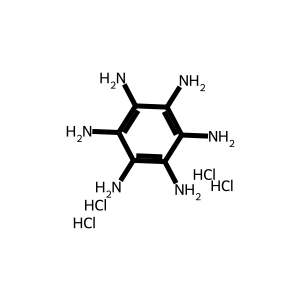 Cl.Cl.Cl.Cl.Nc1c(N)c(N)c(N)c(N)c1N